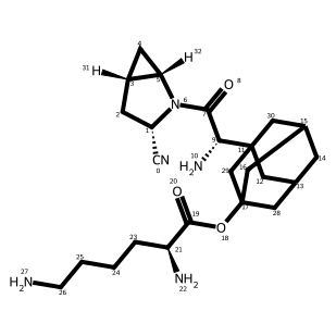 N#C[C@@H]1C[C@@H]2C[C@@H]2N1C(=O)[C@@H](N)C12CC3CC(CC(OC(=O)[C@@H](N)CCCCN)(C3)C1)C2